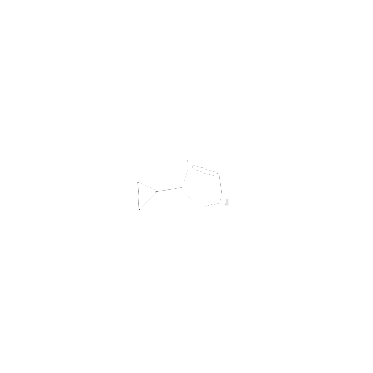 C1=N[C](C2CC2)ON1